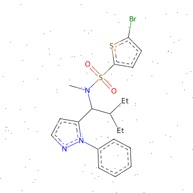 CCC(CC)C(c1ccnn1-c1ccccc1)N(C)S(=O)(=O)c1ccc(Br)s1